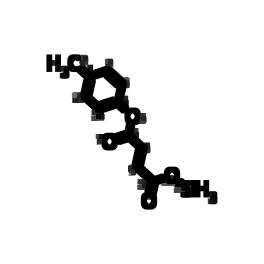 Cc1ccc(OC(=O)/C=C/C(=O)O[SiH3])cc1